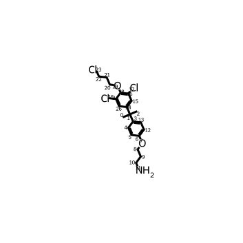 CC(C)(c1ccc(OCCCN)cc1)c1cc(Cl)c(OCCCCl)c(Cl)c1